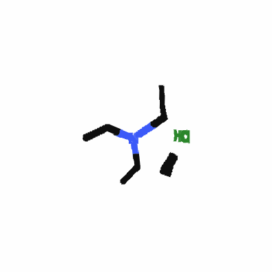 C=C.CCN(CC)CC.Cl